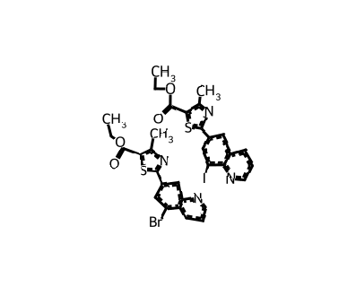 CCOC(=O)c1sc(-c2cc(Br)c3cccnc3c2)nc1C.CCOC(=O)c1sc(-c2cc(I)c3ncccc3c2)nc1C